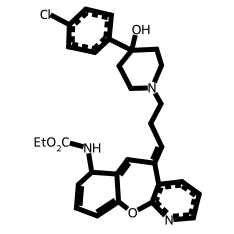 CCOC(=O)NC1C=CC=C2Oc3ncccc3C(=CCCN3CCC(O)(c4ccc(Cl)cc4)CC3)C=C21